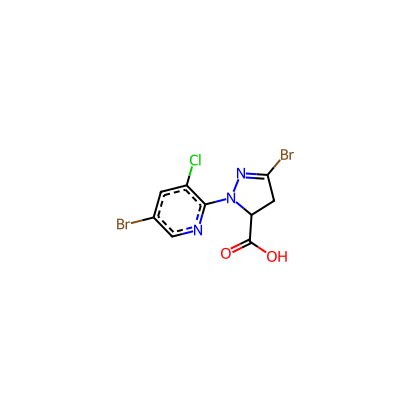 O=C(O)C1CC(Br)=NN1c1ncc(Br)cc1Cl